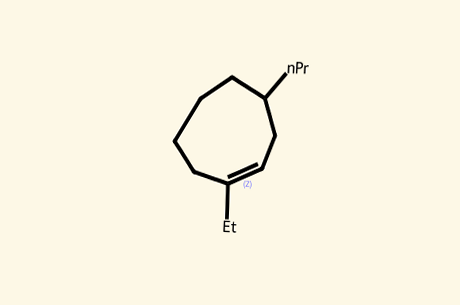 CCCC1C/C=C(/CC)CCCC1